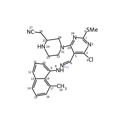 CSc1nc(Cl)c(/C=N/Nc2cccc3cccc(C)c23)c(N2CCNC(CC#N)C2)n1